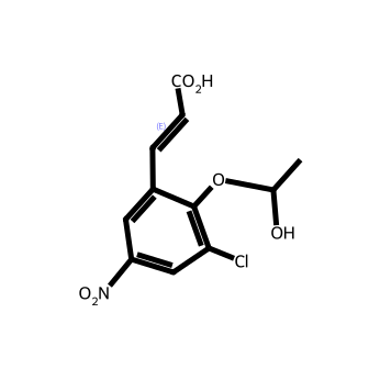 CC(O)Oc1c(Cl)cc([N+](=O)[O-])cc1/C=C/C(=O)O